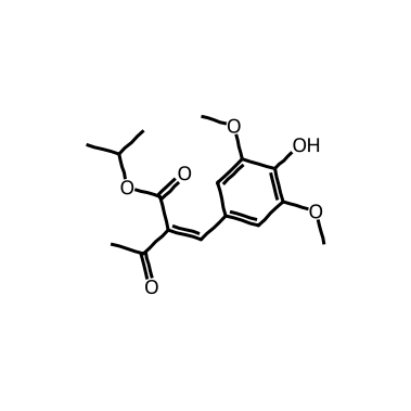 COc1cc(C=C(C(C)=O)C(=O)OC(C)C)cc(OC)c1O